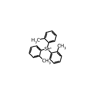 Cc1ccccc1[Se+](c1ccccc1C)c1ccccc1C